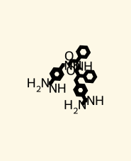 N=C(N)c1ccc(CNC(=O)[C@@H](NC(=O)C(Cc2ccc(C(=N)N)cc2)C2CCCCC2)C2CCCCC2)cc1